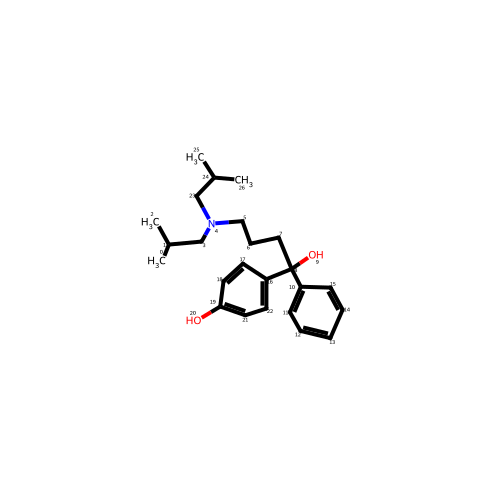 CC(C)CN(CCCC(O)(c1ccccc1)c1ccc(O)cc1)CC(C)C